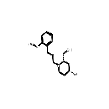 CCCOc1ccccc1CCCN1CC[C@@H](O)C[C@H]1CO